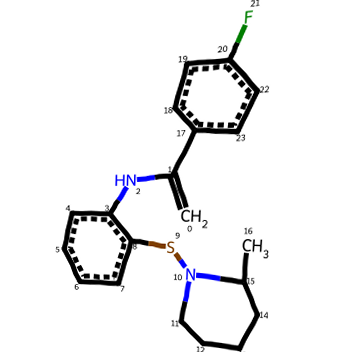 C=C(Nc1ccccc1SN1CCCCC1C)c1ccc(F)cc1